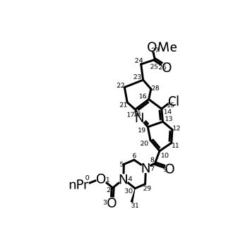 CCCOC(=O)N1CCN(C(=O)c2ccc3c(Cl)c4c(nc3c2)CCC(CC(=O)OC)C4)C[C@H]1C